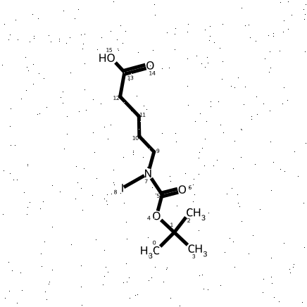 CC(C)(C)OC(=O)N(I)CCCCC(=O)O